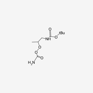 CC(CNC(=O)OC(C)(C)C)OOC(N)=O